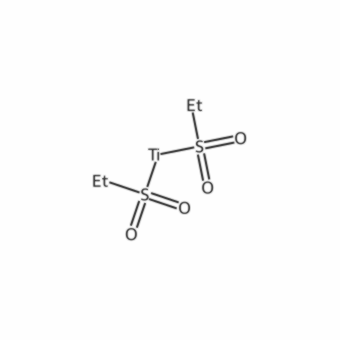 CC[S](=O)(=O)[Ti][S](=O)(=O)CC